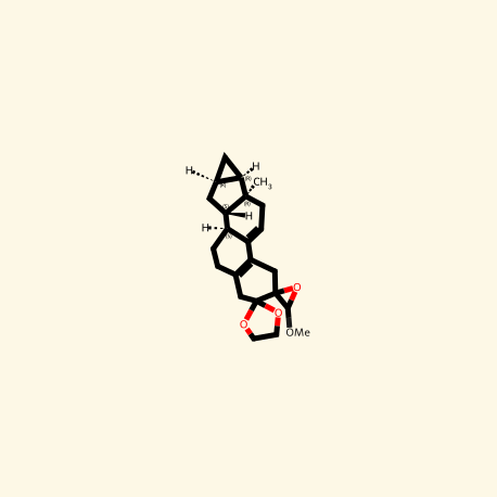 COC1OC12CC1=C(CC[C@@H]3C1=CC[C@]1(C)[C@@H]4C[C@@H]4C[C@@H]31)CC21OCCO1